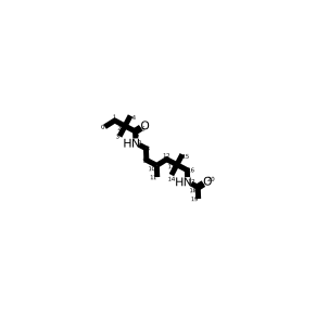 CCC(C)(C)C(=O)NCCC(C)CC(C)(C)CNC(C)=O